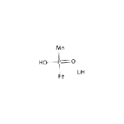 O=[P](O)([Mn])[Fe].[LiH]